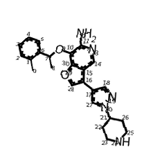 Cc1ccccc1C(C)Oc1c(N)ncc2c(-c3cnn(C4CCNCC4)c3)coc12